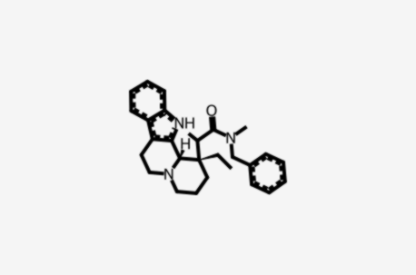 CC[C@@]1(C(C)C(=O)N(C)Cc2ccccc2)CCCN2CCc3c([nH]c4ccccc34)[C@@H]21